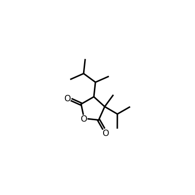 CC(C)C(C)C1C(=O)OC(=O)C1(C)C(C)C